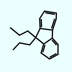 CCCC1(CCC)c2cc[c]cc2-c2ccccc21